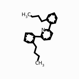 CCCCc1ccccc1-c1cccc(-c2ccccc2CCCC)n1